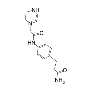 NC(=O)CCc1ccc(NC(=O)CN2C=CNCC2)cc1